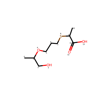 CC(CO)OCCCSC(C)C(=O)O